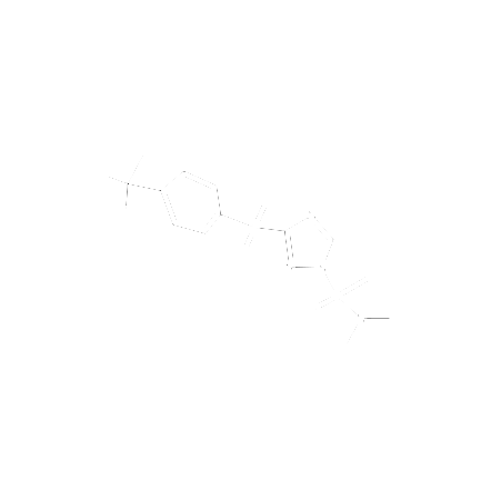 CN(C)S(=O)(=O)n1cnc(S(=O)(=O)c2ccc(C(F)(F)F)cc2)n1